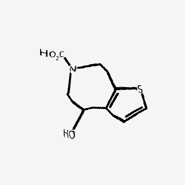 O=C(O)N1Cc2sccc2C(O)C1